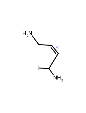 NC/C=C\C(N)I